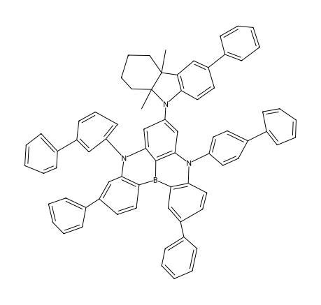 CC12CCCCC1(C)N(c1cc3c4c(c1)N(c1cccc(-c5ccccc5)c1)c1cc(-c5ccccc5)ccc1B4c1cc(-c4ccccc4)ccc1N3c1ccc(-c3ccccc3)cc1)c1ccc(-c3ccccc3)cc12